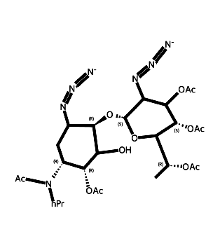 CCCN(C(C)=O)[C@@H]1CC(N=[N+]=[N-])[C@@H](O[C@H]2OC([C@@H](C)OC(C)=O)[C@@H](OC(C)=O)C(OC(C)=O)C2N=[N+]=[N-])C(O)[C@@H]1OC(C)=O